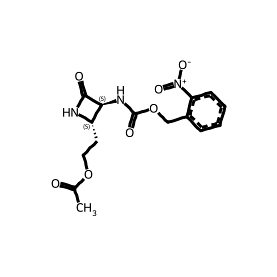 CC(=O)OCC[C@@H]1NC(=O)[C@H]1NC(=O)OCc1ccccc1[N+](=O)[O-]